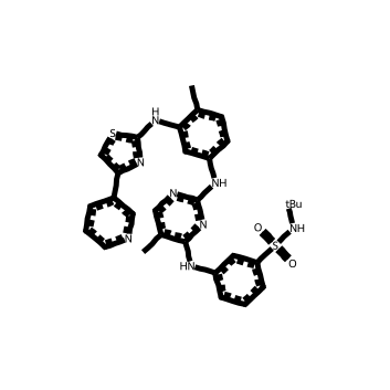 Cc1ccc(Nc2ncc(C)c(Nc3cccc(S(=O)(=O)NC(C)(C)C)c3)n2)cc1Nc1nc(-c2cccnc2)cs1